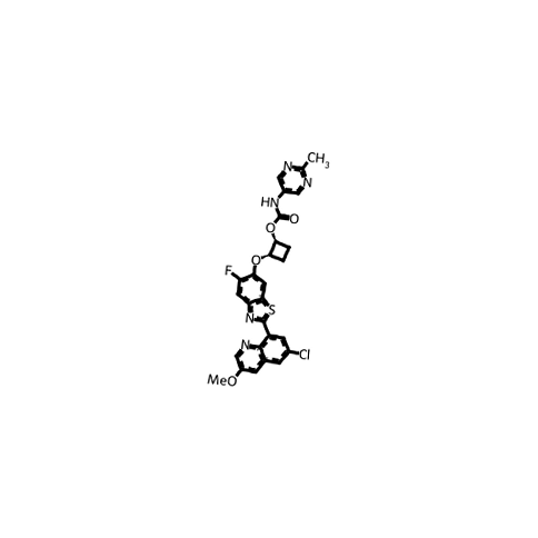 COc1cnc2c(-c3nc4cc(F)c(O[C@@H]5CC[C@@H]5OC(=O)Nc5cnc(C)nc5)cc4s3)cc(Cl)cc2c1